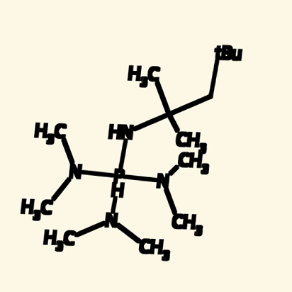 CN(C)[PH](NC(C)(C)CC(C)(C)C)(N(C)C)N(C)C